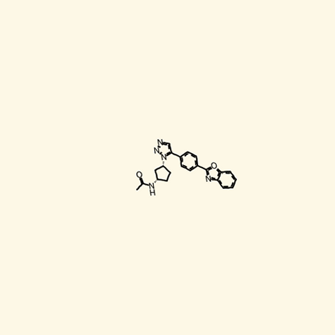 CC(=O)N[C@H]1CC[C@@H](n2nncc2-c2ccc(-c3nc4ccccc4o3)cc2)C1